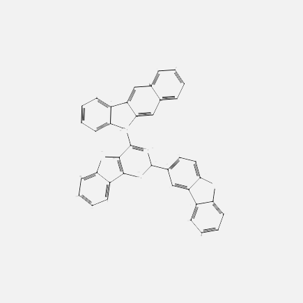 c1ccc2cc3c(cc2c1)c1ccccc1n3C1=NC(c2ccc3sc4ccccc4c3c2)Nc2c1sc1ccccc21